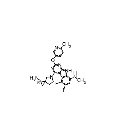 CNc1cc(F)c(F)c2c1[nH]c1nc(Oc3ccc(C)nc3)nc(N3CCC4(C[C@H]4N)C3)c12